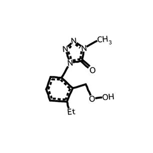 CCc1cccc(-n2nnn(C)c2=O)c1COO